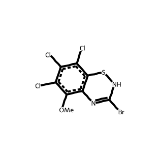 COc1c(Cl)c(Cl)c(Cl)c2c1N=C(Br)NS2